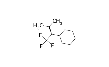 CC(C)[C@@H](C1CCCCC1)C(F)(F)F